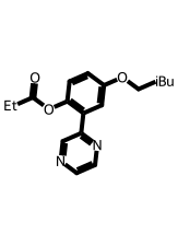 CCC(=O)Oc1ccc(OCC(C)CC)cc1-c1cnccn1